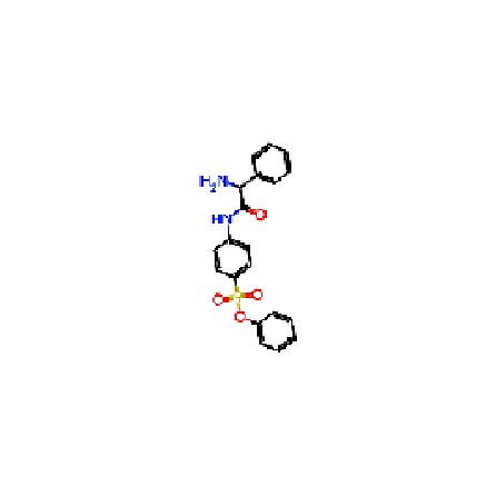 NC(C(=O)Nc1ccc(S(=O)(=O)Oc2ccccc2)cc1)c1ccccc1